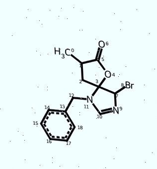 CC1CC2(OC1=O)C(Br)N=CN2Cc1ccccc1